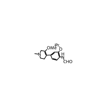 COC1=C(c2ccc(NC=O)c(OC(C)C)c2)CCN(C)C1